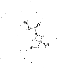 CC(C)(C)OC(=O)N1CC(C#N)(CF)C1